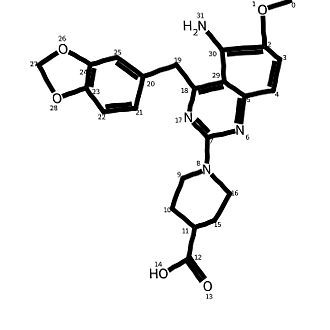 COc1ccc2nc(N3CCC(C(=O)O)CC3)nc(Cc3ccc4c(c3)OCO4)c2c1N